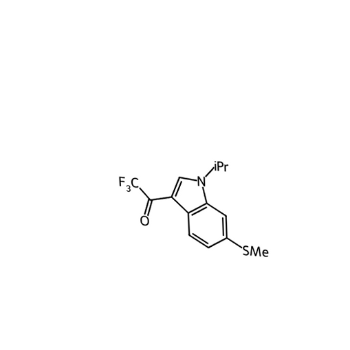 CSc1ccc2c(C(=O)C(F)(F)F)cn(C(C)C)c2c1